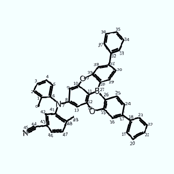 Cc1ccccc1N(c1cc2c3c(c1)Oc1cc(-c4ccccc4)ccc1B3c1ccc(-c3ccccc3)cc1O2)c1cc(C#N)ccc1C